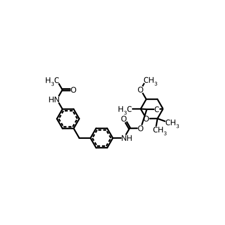 COC1CC2CC(OC(=O)Nc3ccc(Cc4ccc(NC(C)=O)cc4)cc3)C1(C)OC2(C)C